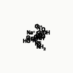 CC(C)(O/N=C(\C(=O)N[C@@H]1C(=O)N2C(C(=O)O)=C(C[n+]3ccccc3)CS[C@H]12)c1csc(N)n1)C(=O)O.[Na+]